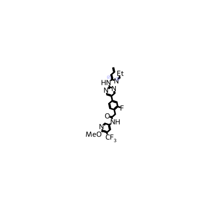 C=C/C=C(\N=C/CC)Nc1ncc(-c2ccc(CC(=O)Nc3cnc(OC)c(C(F)(F)F)c3)c(F)c2)cn1